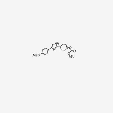 CCCCOC(=O)ON1CCC(c2nc(-c3ccc(OC)cc3)c[nH]2)CC1